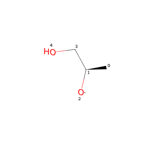 C[C@@H]([O])CO